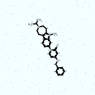 CC(C)N1CCc2c(n(C)c3cc(-n4ccc(OCc5ccccc5)cc4=O)ccc23)CC1